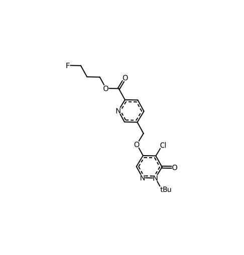 CC(C)(C)n1ncc(OCc2ccc(C(=O)OCCCF)nc2)c(Cl)c1=O